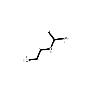 C[C](C)C(C)OCCO